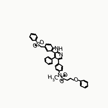 CN(c1ccc(-c2cnc3[nH]c4ccc(CS(=O)(=O)c5ccccc5)cc4c3c2-c2ccccc2)cc1)S(=O)(=O)CCCOc1ccccc1